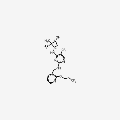 CC1(C)[C@@H](O)C[C@H]1Nc1nc(NCc2cccnc2OCCC(F)(F)F)ncc1C(F)(F)F